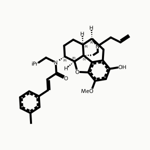 C=CCN1CC[C@]23c4c5c(O)cc(OC)c4O[C@H]2[C@H](N(CC(C)C)C(=O)C=Cc2cccc(C)c2)CC[C@H]3[C@H]1C5